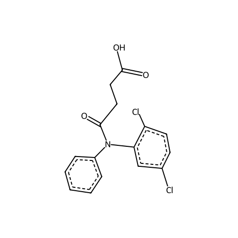 O=C(O)CCC(=O)N(c1ccccc1)c1cc(Cl)ccc1Cl